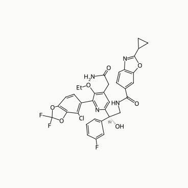 CCOc1c(CC(N)=O)cc([C@@](O)(CNC(=O)c2ccc3nc(C4CC4)oc3c2)c2cccc(F)c2)nc1-c1ccc2c(c1Cl)OC(F)(F)O2